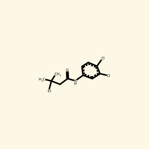 CCC(C)(C)CC(=O)Nc1ccc(Cl)c(Cl)c1